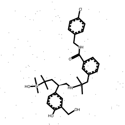 CC(C)(Cc1cccc(C(=O)NCc2ccc(Cl)cc2)c1)NC[C@H](CC(C)(C)[Si](C)(C)O)c1ccc(O)c(CO)c1